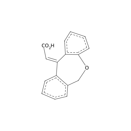 O=C(O)C=C1c2ccccc2COc2ccccc21